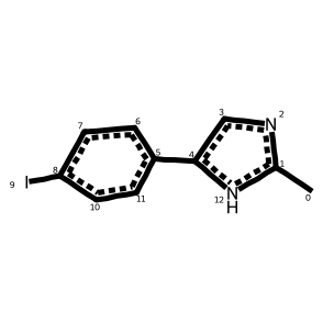 Cc1ncc(-c2ccc(I)cc2)[nH]1